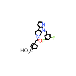 O=C(CC12CCC(C(=O)O)(CC1)C2)N1CCc2c(n(Cc3cc(F)cc(F)c3)c3ncccc23)C1